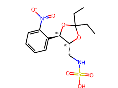 CCC1(CC)O[C@H](c2ccccc2[N+](=O)[O-])[C@@H](CNS(=O)(=O)O)O1